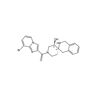 O=C(c1cn2cccc(Br)c2n1)N1CC[C@]2(Cc3ccccc3CN2)[C@H](O)C1